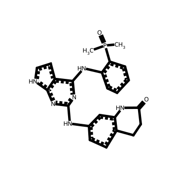 CP(C)(=O)c1ccccc1Nc1nc(Nc2ccc3c(c2)NC(=O)CC3)nc2[nH]ccc12